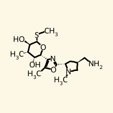 CS[C@H]1O[C@H](c2nc([C@@H]3C[C@@H](CN)CN3C)oc2C)[C@H](O)[C@H](C)[C@H]1O